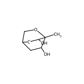 CC12OCC(CC1O)CC2O